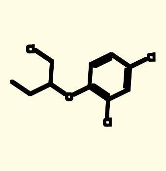 CCC(CCl)Oc1ccc(Cl)cc1Cl